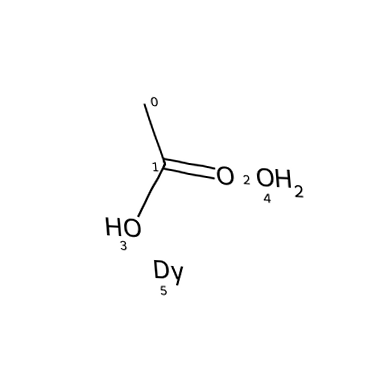 CC(=O)O.O.[Dy]